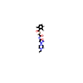 CCN1CCN([n+]2cc([N-]C(=O)CSC(=O)c3c(C)cccc3C)on2)CC1